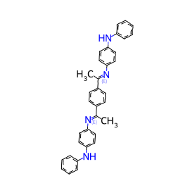 C/C(=N\c1ccc(Nc2ccccc2)cc1)c1ccc(/C(C)=N/c2ccc(Nc3ccccc3)cc2)cc1